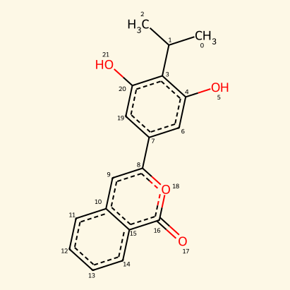 CC(C)c1c(O)cc(-c2cc3ccccc3c(=O)o2)cc1O